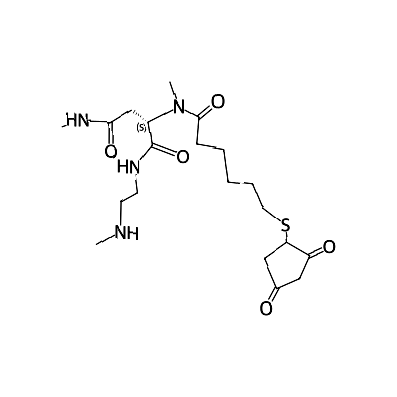 CNCCNC(=O)[C@H](CC(=O)NC)N(C)C(=O)CCCCCSC1CC(=O)CC1=O